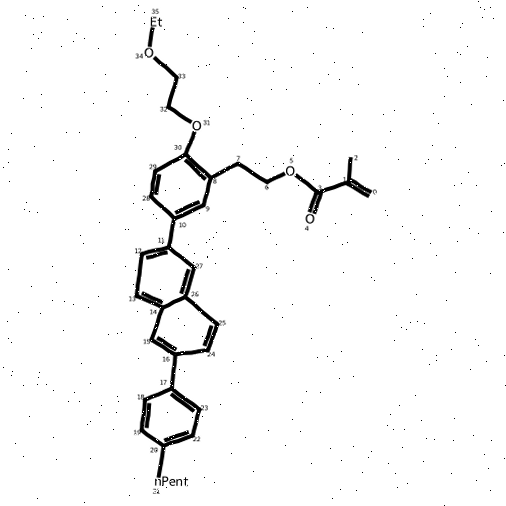 C=C(C)C(=O)OCCc1cc(-c2ccc3cc(-c4ccc(CCCCC)cc4)ccc3c2)ccc1OCCOCC